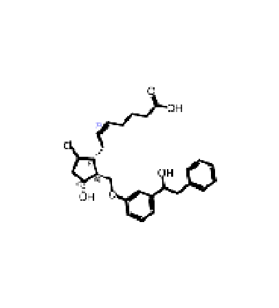 O=C(O)CCC/C=C\C[C@H]1C(Cl)C[C@@H](O)[C@@H]1COc1cccc(C(O)Cc2ccccc2)c1